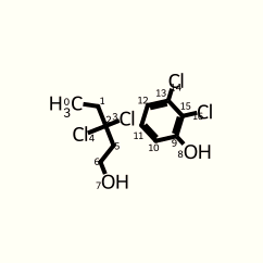 CCC(Cl)(Cl)CCO.Oc1cccc(Cl)c1Cl